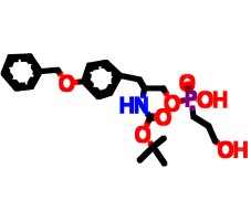 CC(C)(C)OC(=O)NC(COP(=O)(O)CCCO)Cc1ccc(OCc2ccccc2)cc1